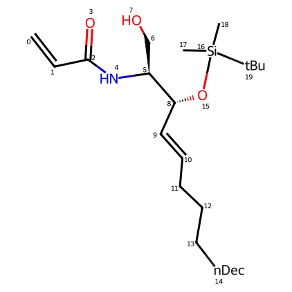 C=CC(=O)N[C@@H](CO)[C@@H](C=CCCCCCCCCCCCCC)O[Si](C)(C)C(C)(C)C